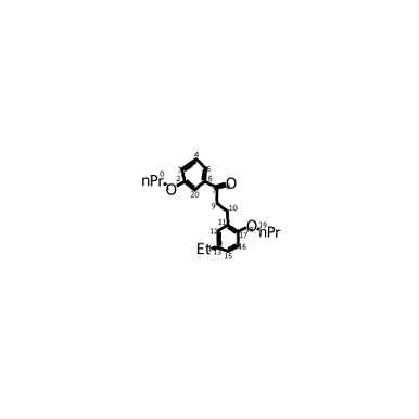 CCCOc1cccc(C(=O)CCc2cc(CC)ccc2OCCC)c1